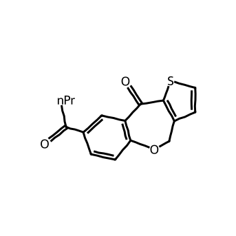 CCCC(=O)c1ccc2c(c1)C(=O)c1sccc1CO2